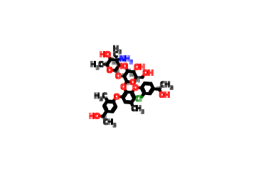 Cc1cc(Oc2ccc([C@H](C)O)cc2C)c(O[C@@H]2O[C@H](CO)[C@@H](O)[C@H](O)[C@H]2O[C@H]2C[C@](C)(N)[C@H](O)[C@H](C)O2)c(Oc2ccc([C@H](C)O)cc2Cl)c1